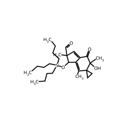 CCCC[Si](CCCC)(CCCC)OC1C2=C(C)C3(CC3)C(C)(O)C(=O)C2=CC1(C)C=O